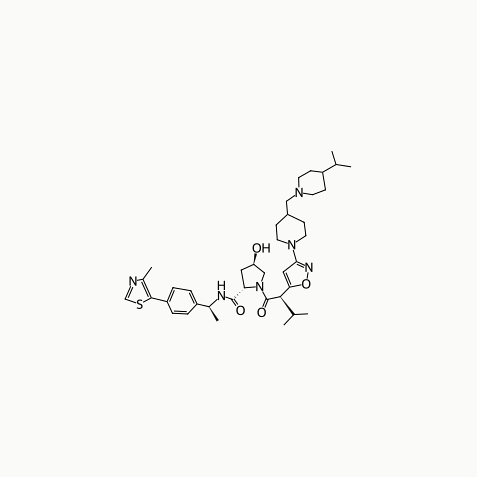 Cc1ncsc1-c1ccc([C@H](C)NC(=O)[C@@H]2C[C@@H](O)CN2C(=O)[C@@H](c2cc(N3CCC(CN4CCC(C(C)C)CC4)CC3)no2)C(C)C)cc1